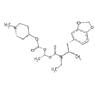 CCN(C(=O)OC(C)OC(=O)OC1CCN(C)CC1)C(C)Cc1ccc2c(c1)OCO2